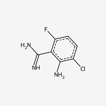 N=C(N)c1c(F)ccc(Cl)c1N